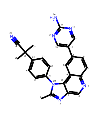 Cc1nc2cnc3ccc(-c4cnc(N)nc4)cc3c2n1-c1ccc(C(C)(C)C#N)cc1